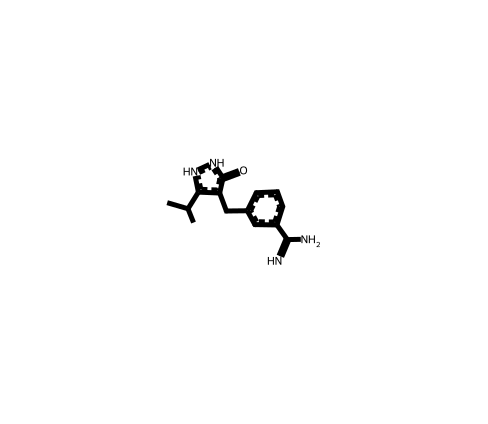 CC(C)c1[nH][nH]c(=O)c1Cc1cccc(C(=N)N)c1